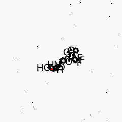 COC(=O)c1c(Cc2ccc(C(=O)NC3C4CC5C[C@H]3CC(O)(C5)C4)cc2)c(=O)c2ccc(C(F)(F)F)nc2n1-c1ccccc1